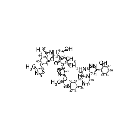 Cc1ncsc1-c1ccc([C@H](C)NC(=O)[C@@H]2C[C@@H](O)CN2C(=O)[C@@H](c2cc(O[C@@H](C)CN3CCC(CN4CCN5c6cc(-c7ccccc7O)nnc6NC[C@H]5C4)CC3)no2)C(C)C)cc1